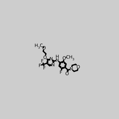 COCCOc1nc(Nc2cc(F)c(C(=O)N3CCOCC3)cc2OC)ncc1C(F)(F)F